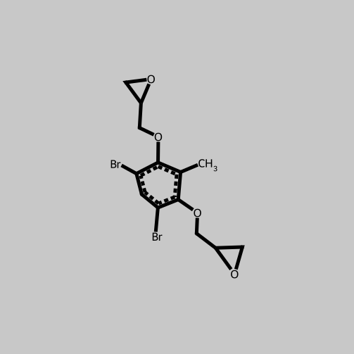 Cc1c(OCC2CO2)c(Br)cc(Br)c1OCC1CO1